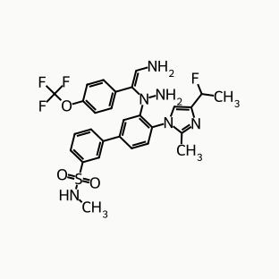 CNS(=O)(=O)c1cccc(-c2ccc(-n3cc(C(C)F)nc3C)c(N(N)/C(=C\N)c3ccc(OC(F)(F)F)cc3)c2)c1